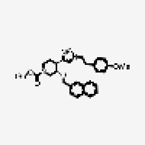 COc1ccc(CCn2cc([C@@H]3CCN(C(=O)OC(C)(C)C)C[C@H]3OCc3ccc4ccccc4c3)nn2)cc1